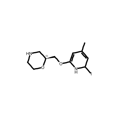 CC1=CC(I)NC(OC[C@@H]2CNCCO2)=C1